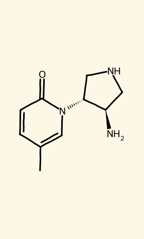 Cc1ccc(=O)n([C@@H]2CNC[C@H]2N)c1